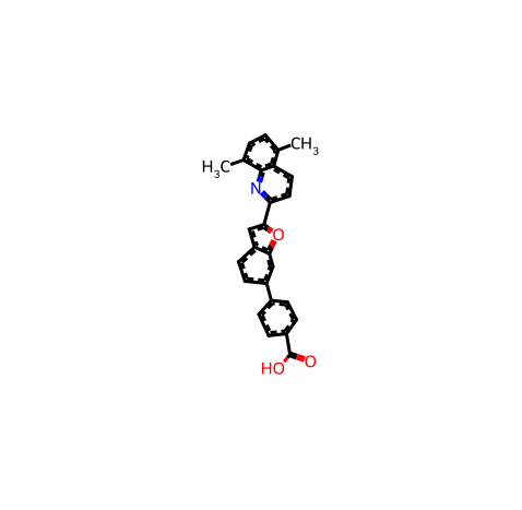 Cc1ccc(C)c2nc(-c3cc4ccc(-c5ccc(C(=O)O)cc5)cc4o3)ccc12